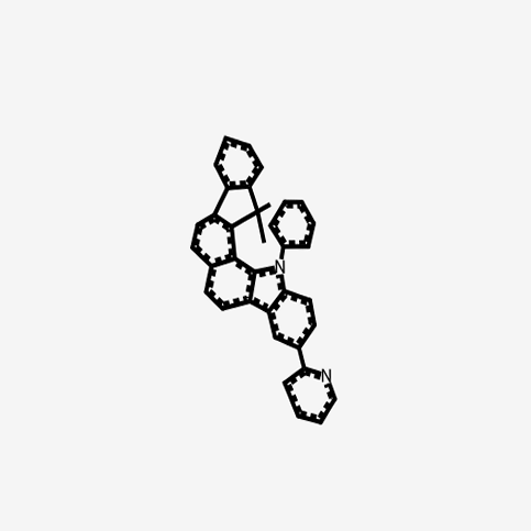 CC1(C)c2ccccc2-c2ccc3ccc4c5cc(-c6ccccn6)ccc5n(-c5ccccc5)c4c3c21